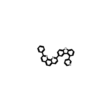 c1ccc(-c2ccc3ccc4ccc(-c5ccc6oc7cccc(-c8cccnc8)c7c6c5)nc4c3n2)cc1